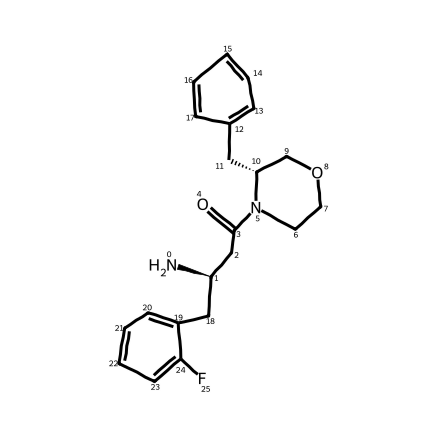 N[C@@H](CC(=O)N1CCOC[C@H]1Cc1ccccc1)Cc1ccccc1F